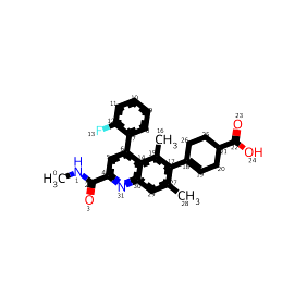 CNC(=O)c1cc(-c2ccccc2F)c2c(C)c(C3=CCC(C(=O)O)CC3)c(C)cc2n1